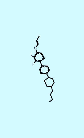 C/C=C/Oc1ccc(-c2ccc(C3CCC(CCCC)CC3)cc2)c(F)c1F